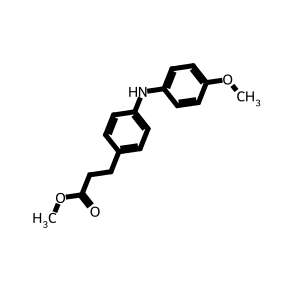 COC(=O)CCc1ccc(Nc2ccc(OC)cc2)cc1